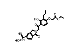 CCCc1c(OCC(=O)OCC)ccc(C(=O)CN2Cc3cc(C(=N)NO)ccc3C2=O)c1O